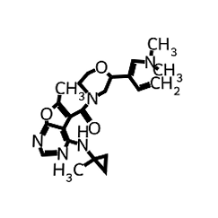 C=C/C(=C\N(C)C)C1CN(C(=O)c2c(C)oc3ncnc(NC4(C)CC4)c23)CCO1